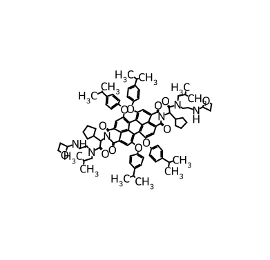 CC(C)CN(CCNC1CCO1)C(=O)C(C1CCCC1)N1C(=O)c2cc(Oc3ccc(C(C)C)cc3)c3c4c(Oc5ccc(C(C)C)cc5)cc5c6c(cc(Oc7ccc(C(C)C)cc7)c(c7c(Oc8ccc(C(C)C)cc8)cc(c2c37)C1=O)c64)C(=O)N(C(C(=O)N(CCNC1CCO1)CC(C)C)C1CCCC1)C5=O